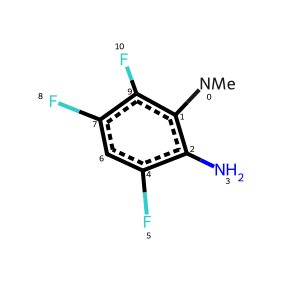 CNc1c(N)c(F)cc(F)c1F